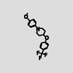 COc1ccc(N2CCC(Oc3ccc(C(F)(F)F)cc3)CC2)cc1